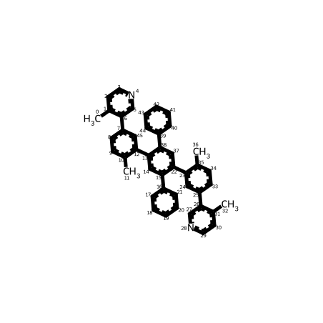 Cc1ccncc1-c1ccc(C)c(-c2cc(-c3ccccc3)c(-c3cc(-c4cnccc4C)ccc3C)cc2-c2ccccc2)c1